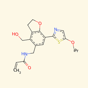 C=CC(=O)NCc1cc(-c2ncc(OC(C)C)s2)c2c(c1CO)CCO2